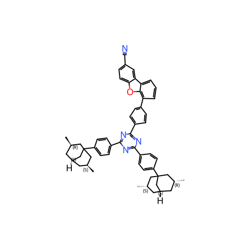 C[C@@H]1C[C@@H]2C[C@H](C)CC(c3ccc(-c4nc(-c5ccc(-c6cccc7c6oc6ccc(C#N)cc67)cc5)nc(-c5ccc(C67C[C@H](C)C[C@H](C[C@H](C)C6)C7)cc5)n4)cc3)(C1)C2